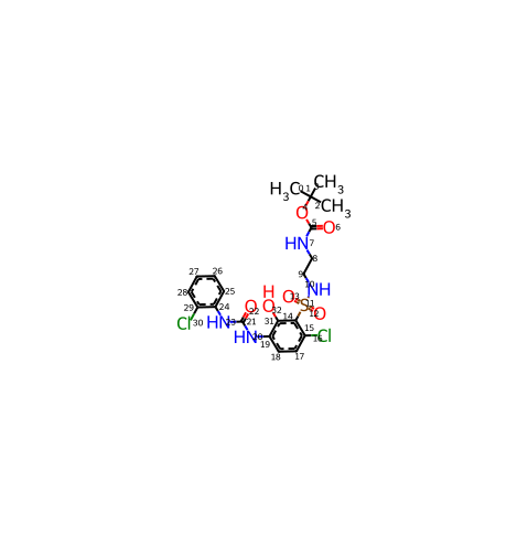 CC(C)(C)OC(=O)NCCNS(=O)(=O)c1c(Cl)ccc(NC(=O)Nc2ccccc2Cl)c1O